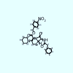 O=C(Cc1ccccc1)NC1C(=O)N2C(C(=O)OCc3ccc([N+](=O)[O-])cc3)=C(N3CCCCC3)CS[C@@H]12